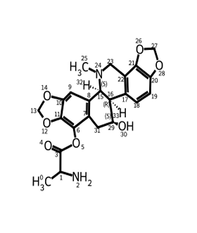 CC(N)C(=O)Oc1c2c(cc3c1OCO3)[C@@H]1[C@@H](c3ccc4c(c3CN1C)OCO4)[C@@H](O)C2